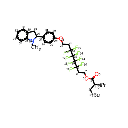 CC(C)C(CC(C)(C)C)C(=O)OCCC(F)(F)C(F)(F)C(F)(F)C(F)(F)CCOc1ccc(C2Cc3ccccc3N2C)cc1